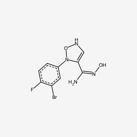 N/C(=N/O)C1=CNON1c1ccc(F)c(Br)c1